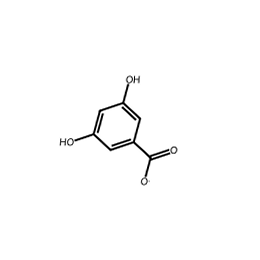 [O]C(=O)c1cc(O)cc(O)c1